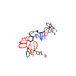 CC(=O)O[C@@H]([C@H](NCC(=O)OC(C)(C)C)[C@@H](C)O)[C@H](C=O)OC(C)=O